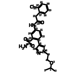 CC(C)OCCn1cc(-c2ccc(NC(=O)Cc3ccccc3Cl)cc2S(N)(=O)=O)cn1